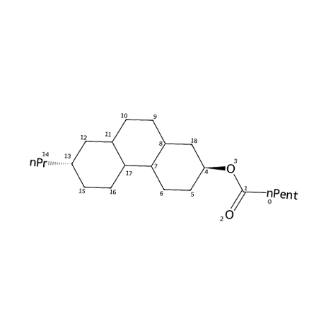 CCCCCC(=O)O[C@H]1CCC2C(CCC3C[C@@H](CCC)CCC32)C1